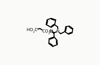 O=C(O)CC(=O)O.O=C(c1ccccc1)N(Cc1ccccc1)Cc1ccccc1